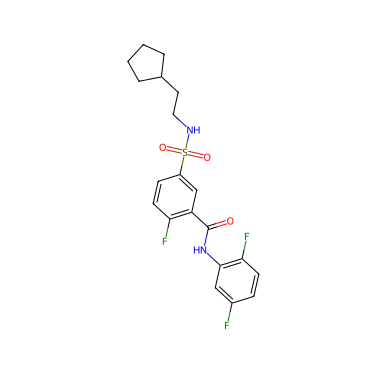 O=C(Nc1cc(F)ccc1F)c1cc(S(=O)(=O)NCCC2CCCC2)ccc1F